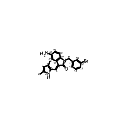 Cc1cc(C)c(C=C2C(=O)N(Cc3cccc(Br)c3)c3ccc(N)cc32)[nH]1